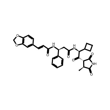 C[C@@H]1C(=O)NC(=O)[C@H]1C(=O)[C@@H](NC(=O)C[C@H](NC(=O)/C=C/c1ccc2c(c1)OCO2)c1ccccc1)C1CCC1